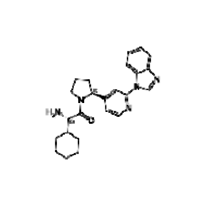 N[C@H](C(=O)N1CCC[C@H]1c1ccnc(-n2cnc3ccccc32)c1)C1CCCCC1